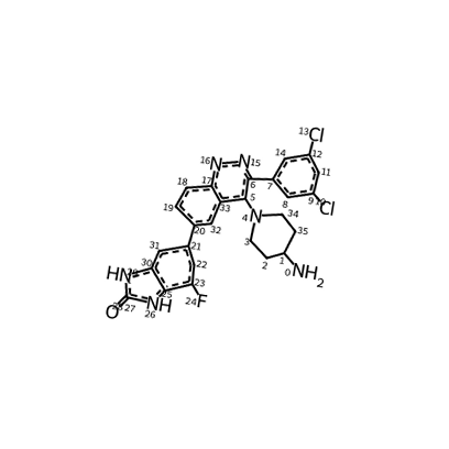 NC1CCN(c2c(-c3cc(Cl)cc(Cl)c3)nnc3ccc(-c4cc(F)c5[nH]c(=O)[nH]c5c4)cc23)CC1